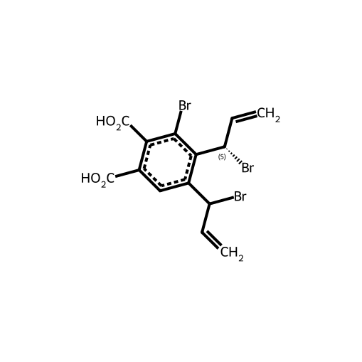 C=CC(Br)c1cc(C(=O)O)c(C(=O)O)c(Br)c1[C@@H](Br)C=C